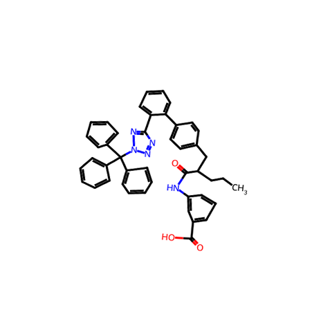 CCCC(Cc1ccc(-c2ccccc2-c2nnn(C(c3ccccc3)(c3ccccc3)c3ccccc3)n2)cc1)C(=O)Nc1cccc(C(=O)O)c1